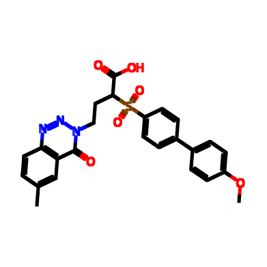 COc1ccc(-c2ccc(S(=O)(=O)C(CCn3nnc4ccc(C)cc4c3=O)C(=O)O)cc2)cc1